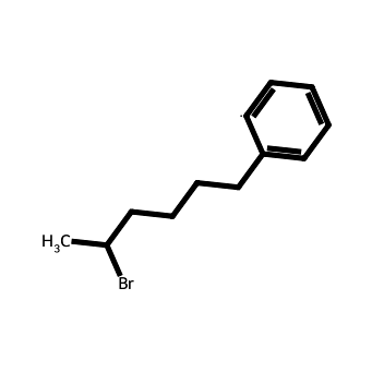 CC(Br)CCCCc1[c]cccc1